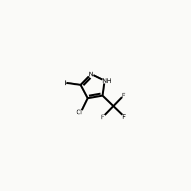 FC(F)(F)c1[nH]nc(I)c1Cl